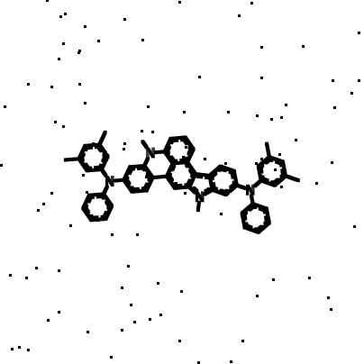 Cc1cc(C)cc(N(c2ccccc2)c2ccc3c(c2)N(C)c2cccc4c2c-3cc2c4c3ccc(N(c4ccccc4)c4cc(C)cc(C)c4)cc3n2C)c1